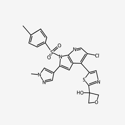 Cc1ccc(S(=O)(=O)n2c(-c3cnn(C)c3)cc3c(-c4cnc(C5(O)COC5)s4)c(Cl)cnc32)cc1